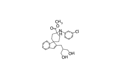 COC(=O)C1(Nc2cccc(Cl)c2)CCC2(CC1)C(CC(CO)CO)=Cc1ccccc12